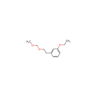 CCOc1cccc([CH]COCOC)c1